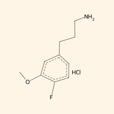 COc1cc(CCCN)ccc1F.Cl